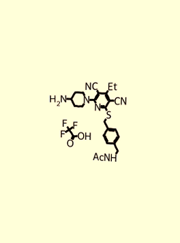 CCc1c(C#N)c(SCc2ccc(CNC(C)=O)cc2)nc(N2CCC(N)CC2)c1C#N.O=C(O)C(F)(F)F